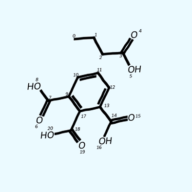 CCCC(=O)O.O=C(O)c1cccc(C(=O)O)c1C(=O)O